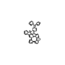 CC1(C)c2ccccc2-c2cc3c4ccccc4c4cccc5oc6ccc7c(c6c54)c3c(c21)n7-c1ccc(N(c2ccccc2)c2ccccc2)cc1